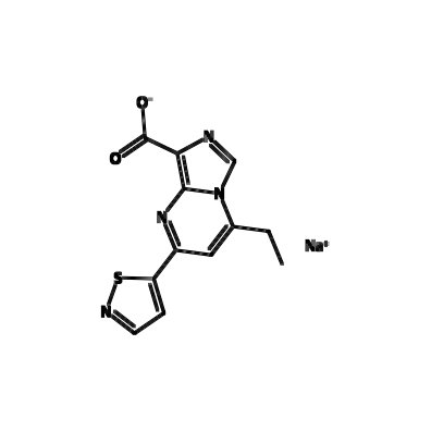 CCc1cc(-c2ccns2)nc2c(C(=O)[O-])ncn12.[Na+]